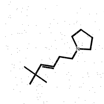 CC(C)(C)/C=C/CCN1CCCC1